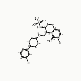 CCS(=O)(=O)NC1CCc2ccc(C)c(=O)n2C1COC1CCC(c2cccc(C)c2)CC1